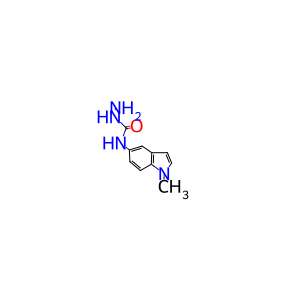 Cn1ccc2cc(NC(=O)NN)ccc21